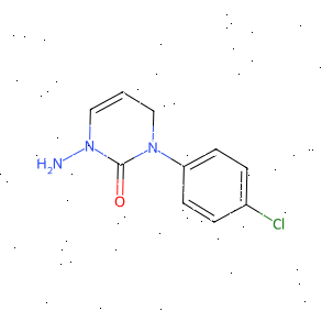 NN1C=CCN(c2ccc(Cl)cc2)C1=O